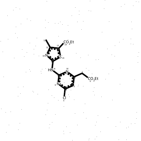 CCOC(=O)Cc1cc(Cl)nc(Nc2nc(C)c(C(=O)OCC)s2)n1